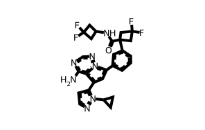 Nc1ncnn2c(-c3cccc(C4(C(=O)NC5CC(F)(F)C5)CC(F)(F)C4)c3)cc(-c3ccnn3C3CC3)c12